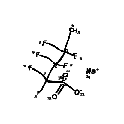 CC(F)(F)C(F)(F)C(F)(F)S(=O)(=O)[O-].[Na+]